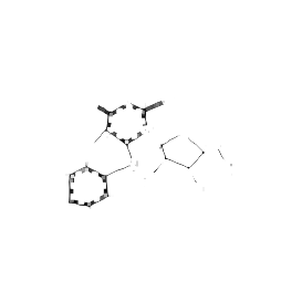 O=c1[nH]c(=O)n([C@@H]2O[C@H](CO)[C@@H](O)[C@H]2O)c(Nc2ccccc2)c1F